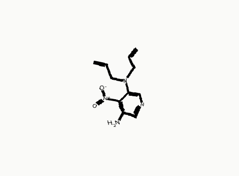 C=CCN(CC=C)c1cncc(N)c1[N+](=O)[O-]